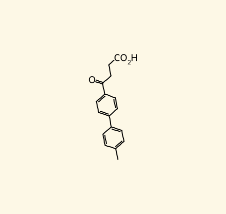 Cc1ccc(-c2ccc(C(=O)CCC(=O)O)cc2)cc1